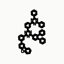 c1ccc(-c2nc(-c3ccccc3)nc(-c3cccc(-c4nc(-c5cccc(-c6ccc7oc8ccccc8c7c6)c5)nc(-c5ccc(-c6ccccc6)c(-c6ccccc6)c5)n4)c3)n2)cc1